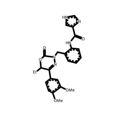 CCC1OC(=O)N(Cc2ccccc2NC(=O)c2c[nH]cn2)N=C1c1ccc(OC)c(OC)c1